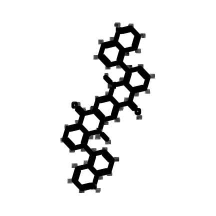 Cn1c2cc3c(=O)c4cccc(-c5cccc6ncccc56)c4n(C)c3cc2c(=O)c2cccc(-c3cccc4ncccc34)c21